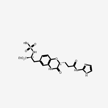 CCCCS(=O)(=O)N[C@@H](Cc1ccc2c(c1)NC(=O)[C@@H](CCC(=O)Nc1ncc[nH]1)O2)C(=O)OCC